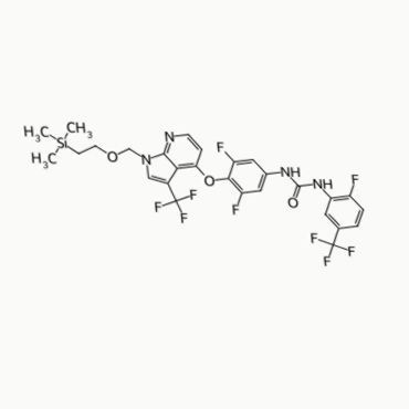 C[Si](C)(C)CCOCn1cc(C(F)(F)F)c2c(Oc3c(F)cc(NC(=O)Nc4cc(C(F)(F)F)ccc4F)cc3F)ccnc21